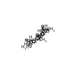 CC(=O)NC1=Nc2ccc(N3CC4(C)CN(c5ccc6c(c5)NC(=C=O)C(NC(C)=O)=N6)CC(C)(C3)C4)cc2NC1=C=O